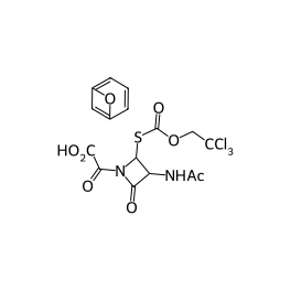 CC(=O)NC1C(=O)N(C(=O)C(=O)O)C1SC(=O)OCC(Cl)(Cl)Cl.c1cc2cc(c1)O2